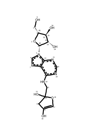 OC[C@H]1O[C@@H](n2cnc3c(NCC4(O)CC(O)=CO4)ncnc32)[C@@H](O)[C@@H]1O